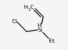 C=C[SiH](CC)CCl